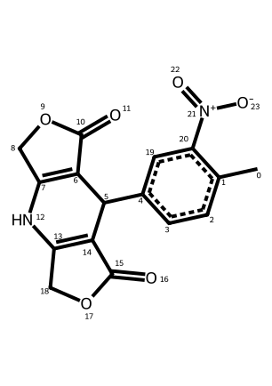 Cc1ccc(C2C3=C(COC3=O)NC3=C2C(=O)OC3)cc1[N+](=O)[O-]